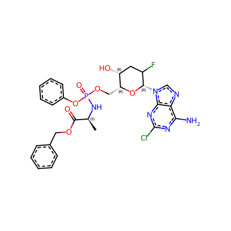 C[C@H](NP(=O)(OC[C@H]1O[C@@H](n2cnc3c(N)nc(Cl)nc32)C(F)C[C@H]1O)Oc1ccccc1)C(=O)OCc1ccccc1